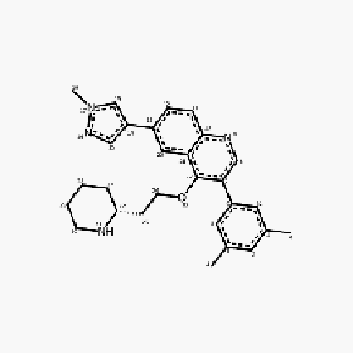 Cc1cc(C)cc(-c2cnc3ccc(-c4cnn(C)c4)cc3c2OCC[C@H]2CCCCN2)c1